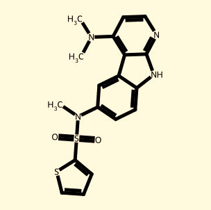 CN(C)c1ccnc2[nH]c3ccc(N(C)S(=O)(=O)c4cccs4)cc3c12